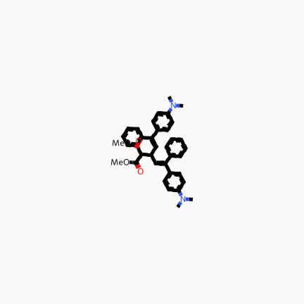 COC(=O)C(C(=O)OC)C(C=C(c1ccccc1)c1ccc(N(C)C)cc1)C=C(c1ccccc1)c1ccc(N(C)C)cc1